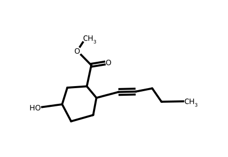 CCCC#CC1CCC(O)CC1C(=O)OC